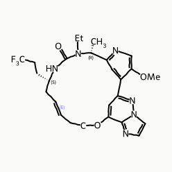 CCN1C(=O)N[C@@H](CCC(F)(F)F)C/C=C/CCOc2cc(nn3ccnc23)-c2cc(ncc2OC)[C@H]1C